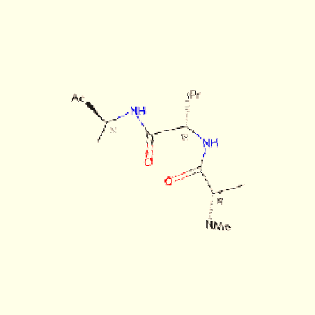 CN[C@@H](C)C(=O)N[C@H](C(=O)N[C@@H](C)C(C)=O)C(C)C